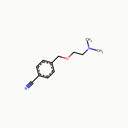 CN(C)CCOCc1ccc(C#N)cc1